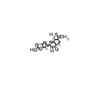 CN(C)c1ccc2c(=O)[nH]c(-n3cc(OC(=O)O)cn3)nc2c1